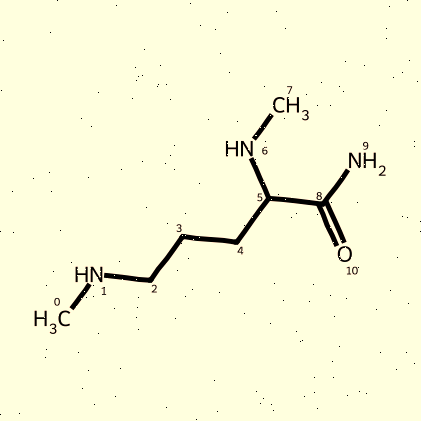 CNCCCC(NC)C(N)=O